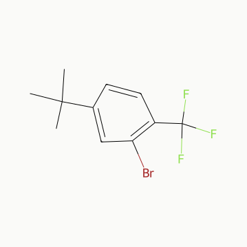 CC(C)(C)c1ccc(C(F)(F)F)c(Br)c1